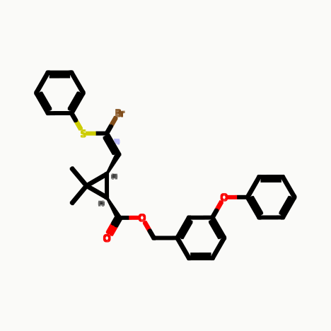 CC1(C)[C@H](C(=O)OCc2cccc(Oc3ccccc3)c2)[C@@H]1/C=C(/Br)Sc1ccccc1